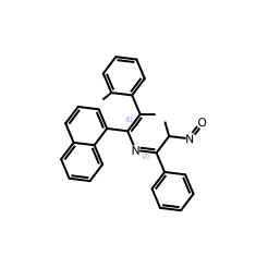 C/C(=C(\N=C(\c1ccccc1)C(C)N=O)c1cccc2ccccc12)c1ccccc1C